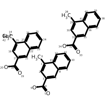 Cc1cc(C(=O)[O-])cc2ccccc12.Cc1cc(C(=O)[O-])cc2ccccc12.Cc1cc(C(=O)[O-])cc2ccccc12.[Ga+3]